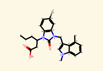 CCCC(CC(=O)O)n1c(=O)n(Cc2cn(C)c3cccc(C)c23)c2cc(Br)ccc21